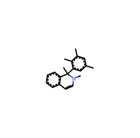 Cc1cc(C)c(C)c(C2(C)c3ccccc3C=CN2C)c1